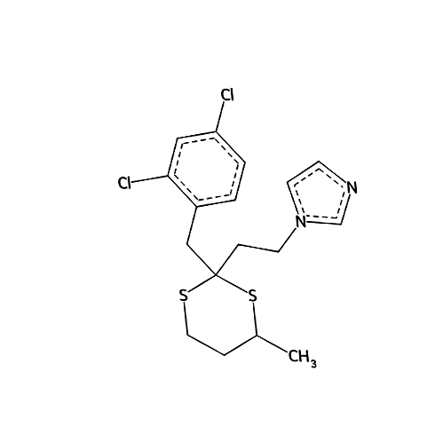 CC1CCSC(CCn2ccnc2)(Cc2ccc(Cl)cc2Cl)S1